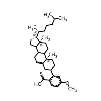 COc1ccc(C(O)=S)c(C2CC[C@@]3(C)C(=CCC4C3CC[C@@]3(C)C4CC[C@@H]3[C@H](C)CCCC(C)C)C2)c1